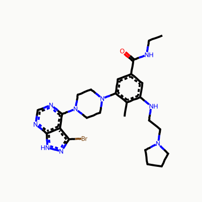 CCNC(=O)c1cc(NCCN2CCCC2)c(C)c(N2CCN(c3ncnc4[nH]nc(Br)c34)CC2)c1